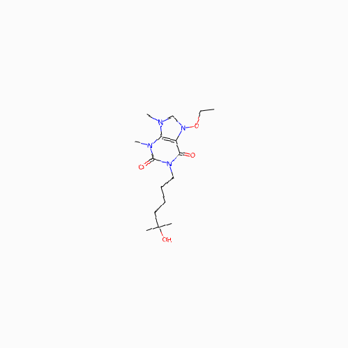 CCON1CN(C)c2c1c(=O)n(CCCCC(C)(C)O)c(=O)n2C